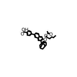 CCCCC(OC(C)=O)Oc1cc2ccc(-c3ccc(C(=O)O)cc3)cc2cc1C12CC3CC(CC(C3)C1)C2